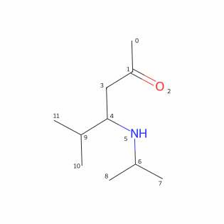 CC(=O)CC(NC(C)C)C(C)C